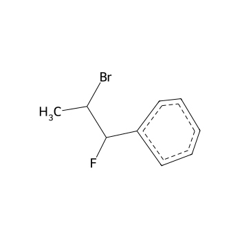 CC(Br)C(F)c1ccccc1